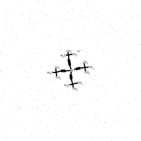 CC(C)(C)C#[C][Al-]([C]#CC(C)(C)C)([C]#CC(C)(C)C)[C]#CC(C)(C)C.[Li+]